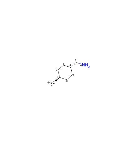 [CH2][C@H]1CC[C@H](CN)CC1